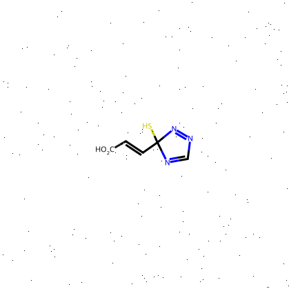 O=C(O)C=CC1(S)N=CN=N1